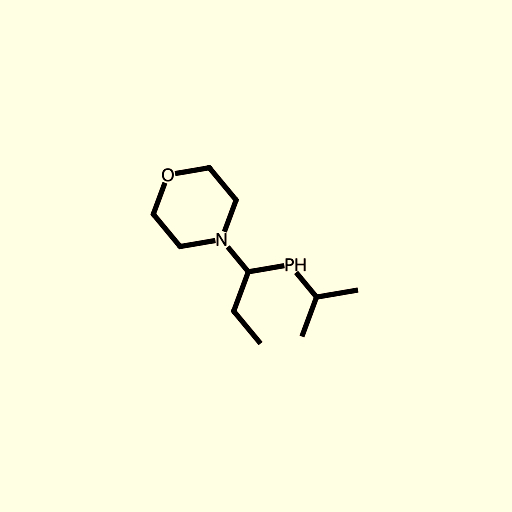 CCC(PC(C)C)N1CCOCC1